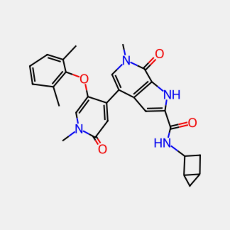 Cc1cccc(C)c1Oc1cn(C)c(=O)cc1-c1cn(C)c(=O)c2[nH]c(C(=O)NC3CC4CC43)cc12